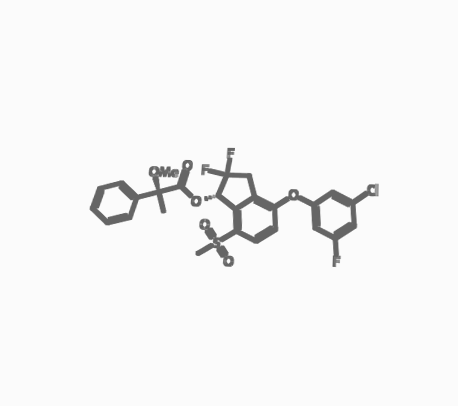 CO[C@](C)(C(=O)O[C@H]1c2c(S(C)(=O)=O)ccc(Oc3cc(F)cc(Cl)c3)c2CC1(F)F)c1ccccc1